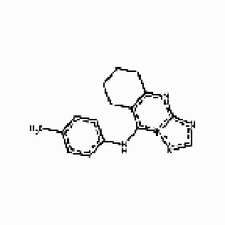 Bc1ccc(Nc2c3c(nc4ncnn24)CCCC3)cc1